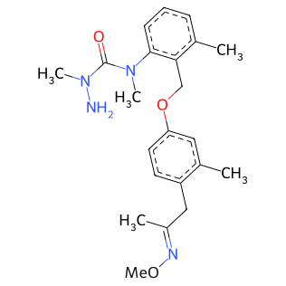 CO/N=C(\C)Cc1ccc(OCc2c(C)cccc2N(C)C(=O)N(C)N)cc1C